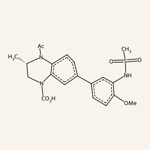 COc1ccc(-c2ccc3c(c2)N(C(=O)O)C[C@H](C)N3C(C)=O)cc1NS(C)(=O)=O